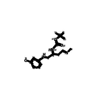 CSCCC(CNc1cccc(Cl)c1)NC(=O)OC(C)(C)C